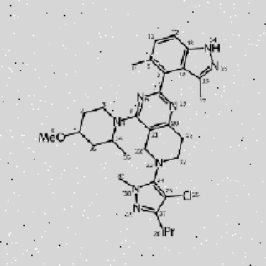 COC1CCN(c2nc(-c3c(C)ccc4[nH]nc(C)c34)nc3c2CN(c2c(Cl)c(C(C)C)nn2C)CC3)C(C)C1